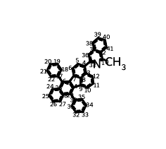 Cc1nc(-c2ccc3c4c(cccc24)-c2c-3c(-c3ccccc3)c3ccccc3c2-c2ccccc2)cc2ccccc12